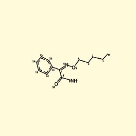 CCCCCON=C(C([NH])=O)c1ccccc1